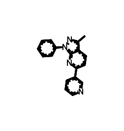 Cc1nn(-c2ccccc2)c2nc(-c3cccnc3)ccc12